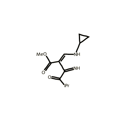 COC(=O)/C(=C/NC1CC1)C(=N)C(=O)C(C)C